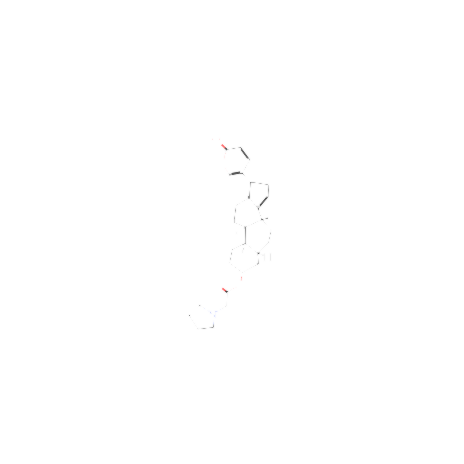 C[C@]12CC[C@H](OC(=O)CN3CCCC3)C[C@H]1CC[C@H]1C3=CC[C@H](c4ccc(=O)oc4)[C@@]3(C)CC[C@@H]12